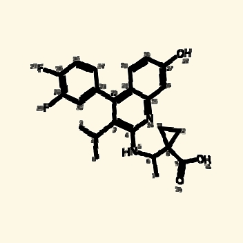 CC(C)c1c(NC(C)C2(C(=O)O)CC2)nc2cc(O)ccc2c1-c1ccc(F)c(F)c1